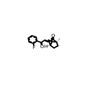 CC1(C)[C@H]2CC[C@]1(C)C(=O)/C2=C/C(=O)c1ccccc1F